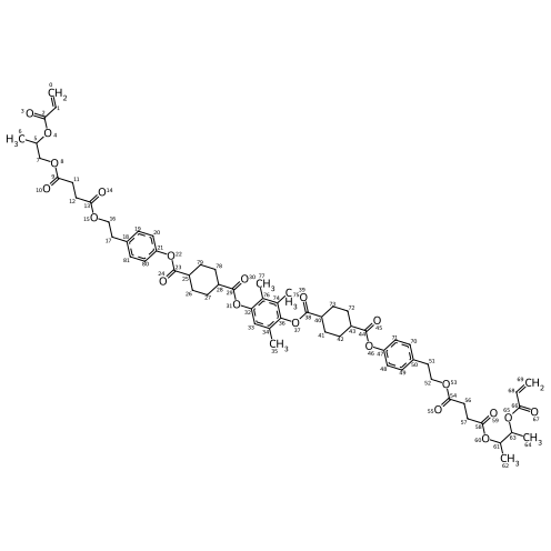 C=CC(=O)OC(C)COC(=O)CCC(=O)OCCc1ccc(OC(=O)C2CCC(C(=O)Oc3cc(C)c(OC(=O)C4CCC(C(=O)Oc5ccc(CCOC(=O)CCC(=O)OC(C)C(C)OC(=O)C=C)cc5)CC4)c(C)c3C)CC2)cc1